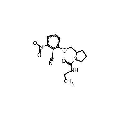 CCNC(=O)N1CCCC1COc1cccc([N+](=O)[O-])c1C#N